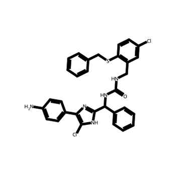 Nc1ccc(-c2nc(C(NC(=O)NCc3cc(Cl)ccc3SCc3ccccc3)c3ccccc3)[nH]c2Cl)cc1